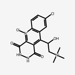 C[N+](C)(C)CC(O)c1c2cc(Cl)ccc2[n+]([O-])c2c(=O)[nH][nH]c(=O)c12